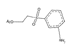 CC(=O)OCCS(=O)(=O)c1cccc(N)c1